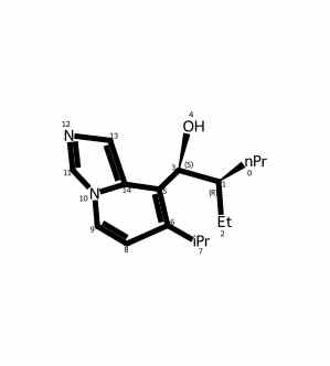 CCC[C@@H](CC)[C@H](O)c1c(C(C)C)ccn2cncc12